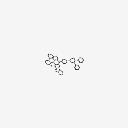 c1ccc(-c2ccc(-c3ccc(N(c4ccc5oc6ccccc6c5c4)c4ccccc4-c4cccc5cccc(-c6ccccc6)c45)cc3)cc2-c2ccccc2)cc1